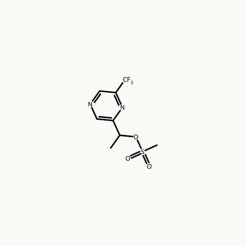 CC(OS(C)(=O)=O)c1cncc(C(F)(F)F)n1